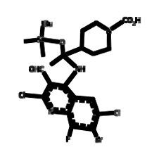 CC(Nc1c(C=O)c(Cl)nc2c(F)c(Br)c(Cl)cc12)(O[Si](C)(C)C(C)(C)C)C1CCN(C(=O)O)CC1